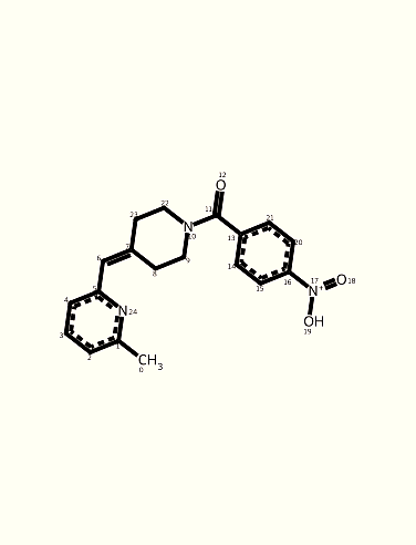 Cc1cccc(C=C2CCN(C(=O)c3ccc([N+](=O)O)cc3)CC2)n1